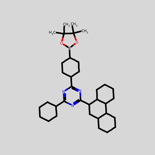 CC1(C)OB(C2CCC(c3nc(C4CCCCC4)nc(C4CC5CCCCC5C5CCCCC45)n3)CC2)OC1(C)C